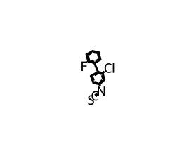 Fc1ccccc1-c1ccc(N=C=S)cc1Cl